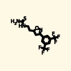 NC(=S)NCCC1CC(c2cc(C(F)(F)F)cc(C(F)(F)F)c2)=NO1